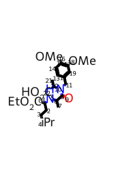 CCOC(=O)C(CCC(C)C)NC(C)C(=O)N(Cc1ccc(OC)c(OC)c1)C(C)C(=O)O